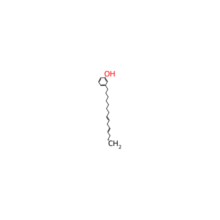 C=CC/C=C/C/C=C/CCCCCCCc1cccc(O)c1